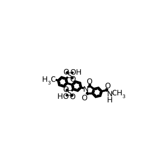 CNC(=O)c1ccc2c(c1)C(=O)N(c1ccc(-c3ccc(C)cc3S(=O)(=O)O)c(S(=O)(=O)O)c1)C2=O